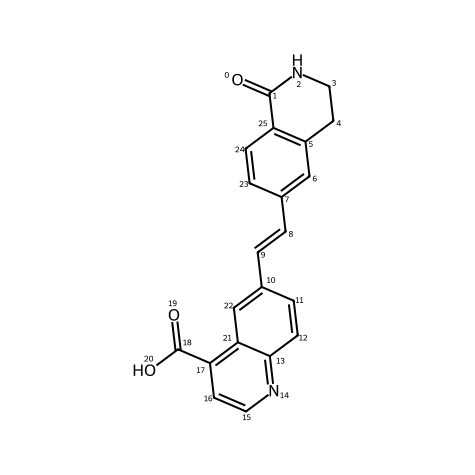 O=C1NCCc2cc(C=Cc3ccc4nccc(C(=O)O)c4c3)ccc21